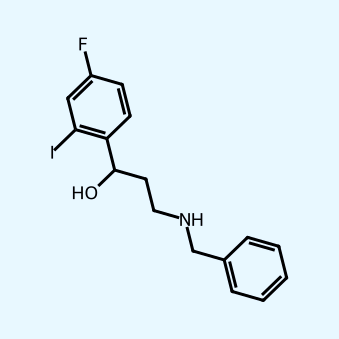 OC(CCNCc1ccccc1)c1ccc(F)cc1I